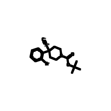 [C-]#[N+]C1(c2ccccc2Br)CCN(C(=O)OC(C)(C)C)CC1